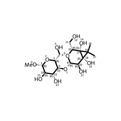 CO[C@@H]1O[C@H](CO)[C@@H](O[C@@H]2O[C@H](CO)[C@@]3(O)C(C)(C)[C@@]3(O)[C@H]2O)[C@H](O)[C@H]1O